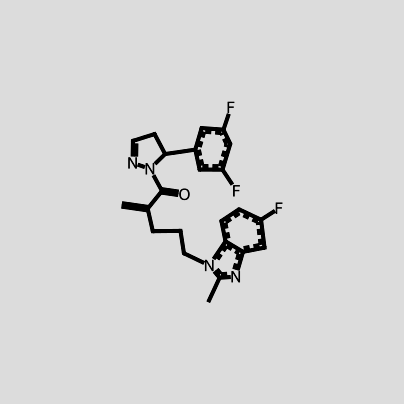 C=C(CCCn1c(C)nc2cc(F)ccc21)C(=O)N1N=CCC1c1cc(F)cc(F)c1